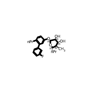 CCCc1ccc(O[C@@H]2O[C@@H](CCC)[C@H](C)[C@@H](O)[C@H]2O)cc1-c1cccc(F)c1